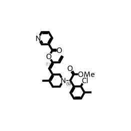 C=C/C(=C\C1=C(C)CCN([C@H](C(=O)OC)C2=CC=CC(C)C2Cl)C1)OC(=O)c1cccnc1